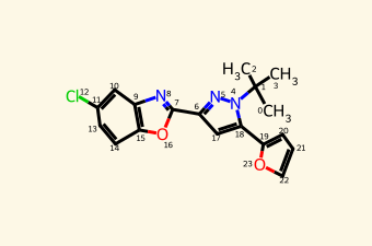 CC(C)(C)n1nc(-c2nc3cc(Cl)ccc3o2)cc1-c1ccco1